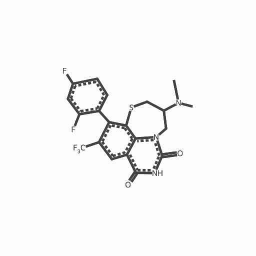 CN(C)C1CSc2c(-c3ccc(F)cc3F)c(C(F)(F)F)cc3c(=O)[nH]c(=O)n(c23)C1